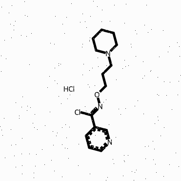 Cl.Cl/C(=N\OCCCN1CCCCC1)c1cccnc1